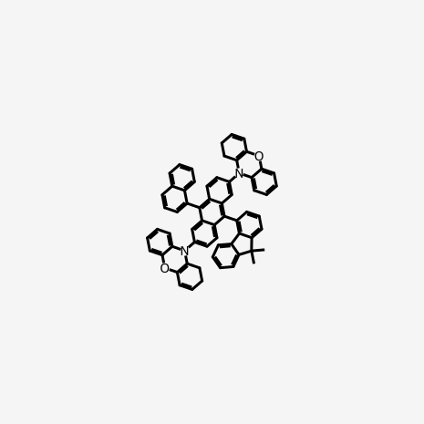 CC1(C)c2ccccc2-c2c(-c3c4cc(N5C6=C(C=CCC6)Oc6ccccc65)ccc4c(-c4cccc5ccccc45)c4cc(N5C6=C(C=CCC6)Oc6ccccc65)ccc34)cccc21